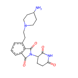 NC1CCN(CCc2cccc3c2C(=O)N(C2CCC(=O)NC2=O)C3=O)CC1